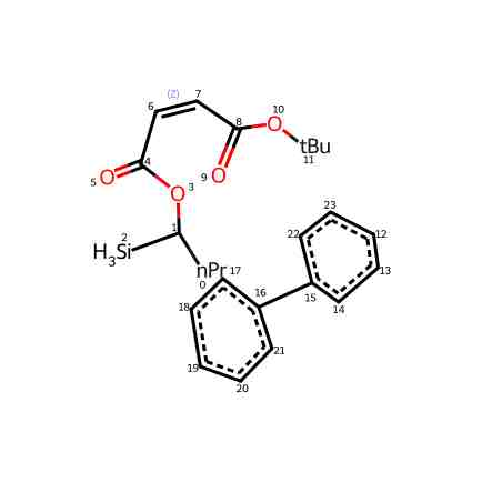 CCCC([SiH3])OC(=O)/C=C\C(=O)OC(C)(C)C.c1ccc(-c2ccccc2)cc1